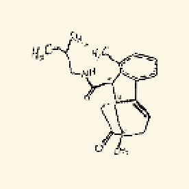 Cc1cccc2c1[C@H](C(=O)NCC(C)C)[C@@]13CC(=O)[C@@](C)(CC=C21)C3